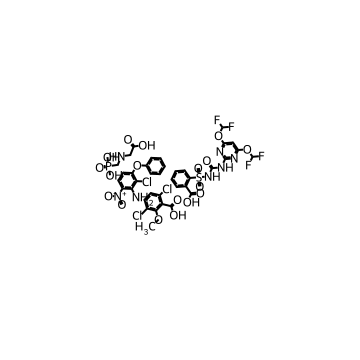 COc1c(Cl)ccc(Cl)c1C(=O)O.Nc1c([N+](=O)[O-])ccc(Oc2ccccc2)c1Cl.O=C(Nc1nc(OC(F)F)cc(OC(F)F)n1)NS(=O)(=O)c1ccccc1C(=O)O.O=C(O)CNCP(=O)(O)O